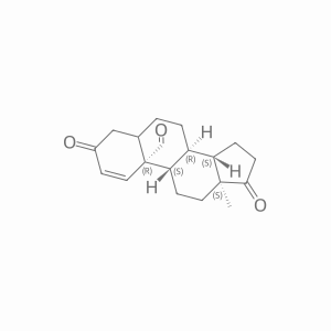 C[C@]12CC[C@H]3[C@@H](CCC4CC(=O)C=C[C@@]43C=O)[C@@H]1CCC2=O